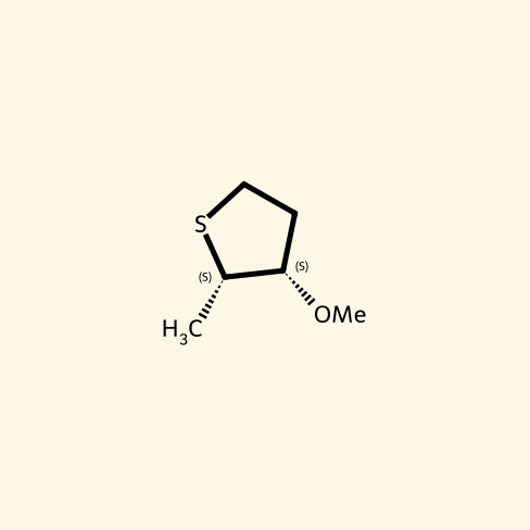 CO[C@H]1CCS[C@H]1C